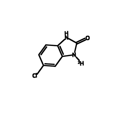 [2H]n1c(=O)[nH]c2ccc(Cl)cc21